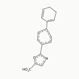 O=C(O)c1cnc(-c2ccc(C3=CCCC=C3)cc2)o1